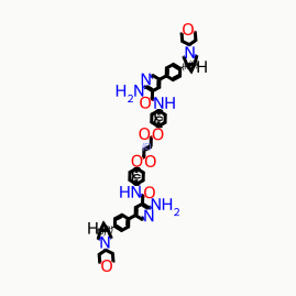 Nc1ncc(-c2ccc([C@@]34C[C@@H]3CN(C3CCOCC3)C4)cc2)cc1C(=O)NC12CCC(OC(=O)/C=C/C(=O)OC34CCC(NC(=O)c5cc(-c6ccc([C@@]78C[C@@H]7CN(C7CCOCC7)C8)cc6)cnc5N)(CC3)CC4)(CC1)CC2